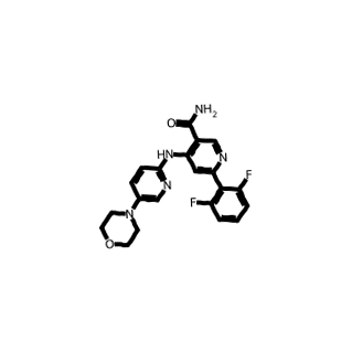 NC(=O)c1cnc(-c2c(F)cccc2F)cc1Nc1ccc(N2CCOCC2)cn1